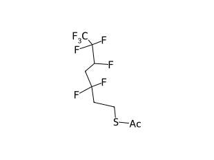 CC(=O)SCCC(F)(F)CC(F)C(F)(F)C(F)(F)F